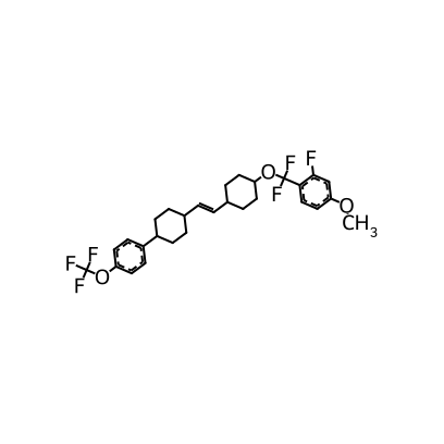 COc1ccc(C(F)(F)OC2CCC(/C=C/C3CCC(c4ccc(OC(F)(F)F)cc4)CC3)CC2)c(F)c1